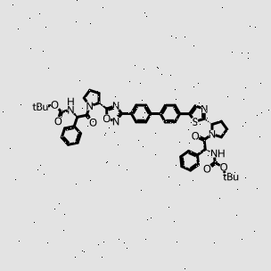 CC(C)(C)OC(=O)N[C@@H](C(=O)N1CCC[C@H]1c1nc(-c2ccc(-c3ccc(-c4cnc([C@@H]5CCCN5C(=O)[C@H](NC(=O)OC(C)(C)C)c5ccccc5)s4)cc3)cc2)no1)c1ccccc1